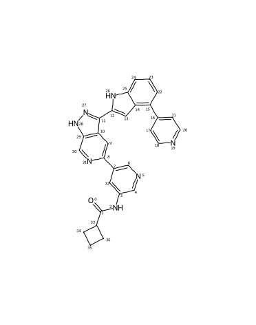 O=C(Nc1cncc(-c2cc3c(-c4cc5c(-c6ccncc6)cccc5[nH]4)n[nH]c3cn2)c1)C1CCC1